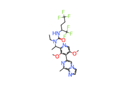 CCN(C(=O)NC(CCC(F)(F)F)C(F)(F)F)C(C)c1ncc(OC)c(-c2cn3ccnc3c(C)n2)c1OC